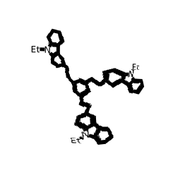 CCn1c2c(c3cc(/C=C/c4cc(/C=C/c5ccc6c(c5)c5ccccc5n6CC)cc(/C=C/c5ccc6c(c5)c5ccccc5n6CC)c4)ccc31)C=CCC2